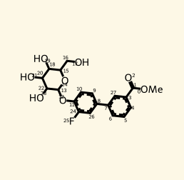 COC(=O)c1cccc(-c2ccc(OC3OC(CO)C(O)C(O)C3O)c(F)c2)c1